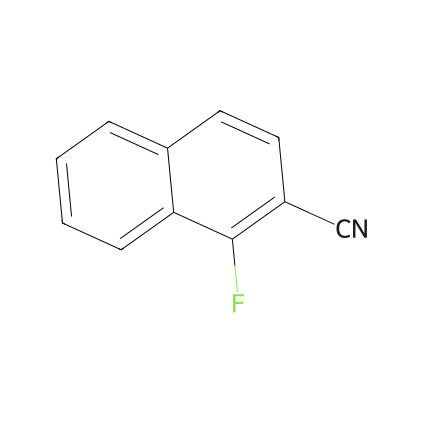 N#Cc1ccc2ccccc2c1F